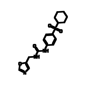 O=C(NCc1cnco1)Nc1ccc(S(=O)(=O)C2CCCCC2)cc1